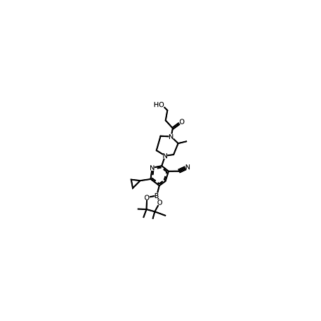 CC1CN(c2nc(C3CC3)c(B3OC(C)(C)C(C)(C)O3)cc2C#N)CCN1C(=O)CCO